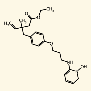 C=CC(C)(CC(=O)OCC)Cc1ccc(OCCCNC2=CC=CCN2O)cc1